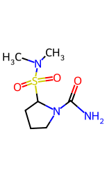 CN(C)S(=O)(=O)C1CCCN1C(N)=O